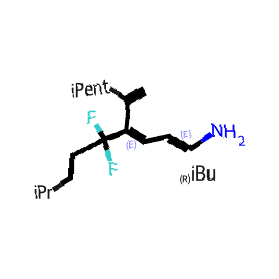 C=C(/C(=C\C=C(\N)[C@H](C)CC)C(F)(F)CCC(C)C)C(C)CCC